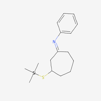 C[Si](C)(C)SC1CCCCC(=Nc2ccccc2)C1